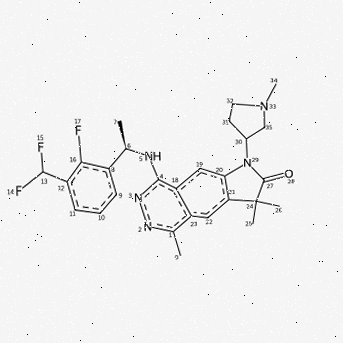 Cc1nnc(N[C@H](C)c2cccc(C(F)F)c2F)c2cc3c(cc12)C(C)(C)C(=O)N3C1CCN(C)C1